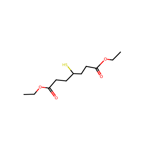 CCOC(=O)CCC(S)CCC(=O)OCC